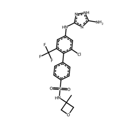 CC1(NS(=O)(=O)c2ccc(-c3c(Cl)cc(Nc4n[nH]c(N)n4)cc3C(F)(F)F)cc2)COC1